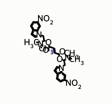 CN(C)C(Cn1ccc2ccc([N+](=O)[O-])cc21)OC(=O)/C=C/C(=O)OC(Cn1ccc2ccc([N+](=O)[O-])cc21)N(C)C